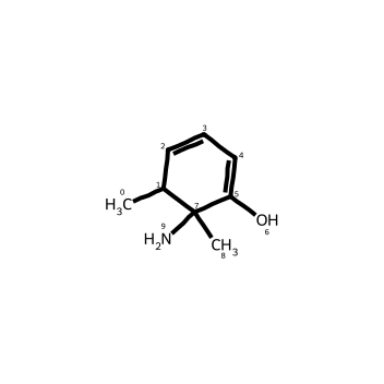 CC1C=CC=C(O)C1(C)N